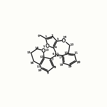 Cc1cc2c(o1)N(c1cccc3c1OCCC3)c1ccccc1CO2